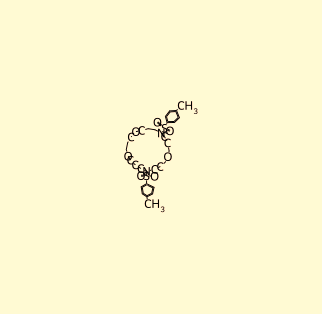 Cc1ccc(S(=O)(=O)N2CCCOCCCOCCCN(S(=O)(=O)c3ccc(C)cc3)CCCOCCC2)cc1